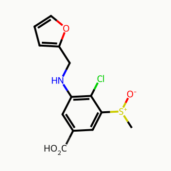 C[S+]([O-])c1cc(C(=O)O)cc(NCc2ccco2)c1Cl